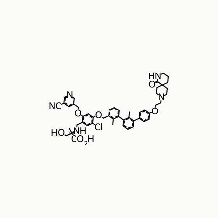 Cc1c(COc2cc(OCc3cncc(C#N)c3)c(CN[C@@](C)(CO)C(=O)O)cc2Cl)cccc1-c1cccc(-c2ccc(OCCN3CCC4(CCCNC4=O)CC3)cc2)c1C